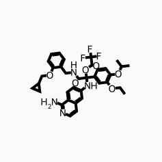 CCOc1cc(C(Nc2ccc3c(N)nccc3c2)(OC(=O)C(F)(F)F)C(=O)NCc2ccccc2OCC2CC2)ccc1OC(C)C